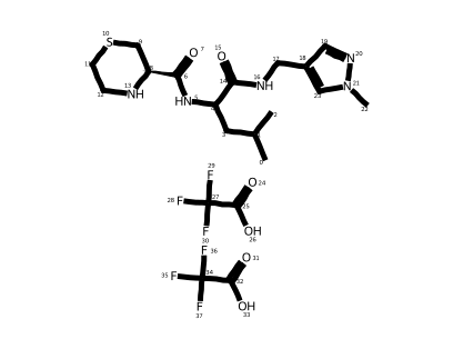 CC(C)CC(NC(=O)[C@@H]1CSCCN1)C(=O)NCc1cnn(C)c1.O=C(O)C(F)(F)F.O=C(O)C(F)(F)F